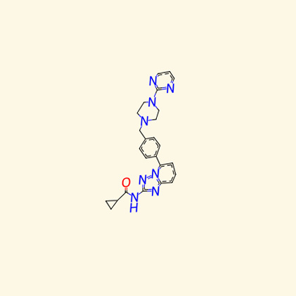 O=C(Nc1nc2cccc(-c3ccc(CN4CCN(c5ncccn5)CC4)cc3)n2n1)C1CC1